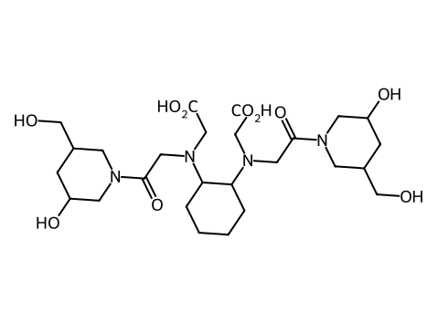 O=C(O)CN(CC(=O)N1CC(O)CC(CO)C1)C1CCCCC1N(CC(=O)O)CC(=O)N1CC(O)CC(CO)C1